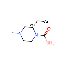 BC(=O)N1CCN(C)C[C@@H]1CC(C)=O